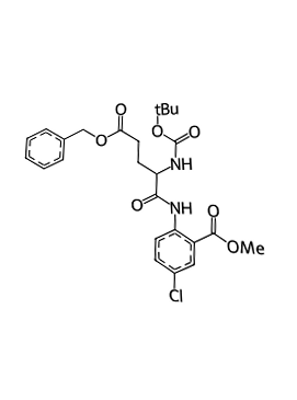 COC(=O)c1cc(Cl)ccc1NC(=O)C(CCC(=O)OCc1ccccc1)NC(=O)OC(C)(C)C